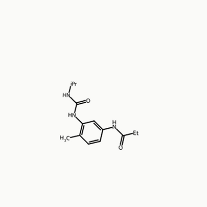 CCC(=O)Nc1ccc(C)c(NC(=O)NC(C)C)c1